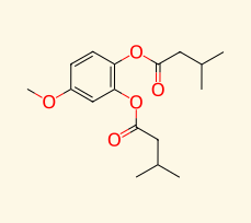 COc1ccc(OC(=O)CC(C)C)c(OC(=O)CC(C)C)c1